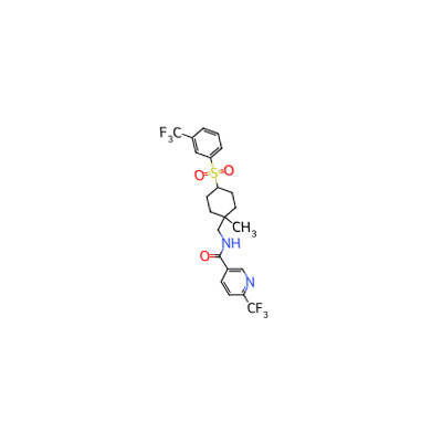 CC1(CNC(=O)c2ccc(C(F)(F)F)nc2)CCC(S(=O)(=O)c2cccc(C(F)(F)F)c2)CC1